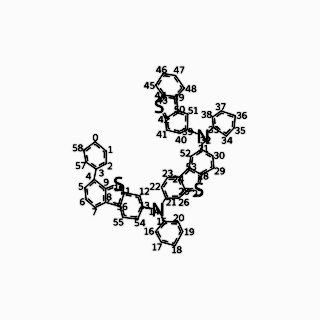 c1ccc(-c2cccc3c2sc2cc(N(c4ccccc4)c4ccc5c(c4)sc4ccc(N(c6ccccc6)c6ccc7sc8ccccc8c7c6)cc45)ccc23)cc1